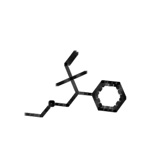 C=CC(C)(C)C(COCC)c1ccccc1